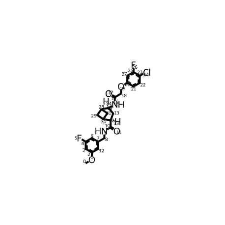 COc1cc(F)cc(CNC(=O)[C@@H]2C[C@H](NC(=O)COc3ccc(Cl)c(F)c3)C3CC2C3)c1